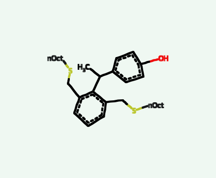 CCCCCCCCSCc1cccc(CSCCCCCCCC)c1C(C)c1ccc(O)cc1